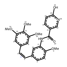 COc1ccc(/C=C\c2cc(OC)c(OC)c(OC)c2)cc1NC(=O)c1ccc(O)nc1